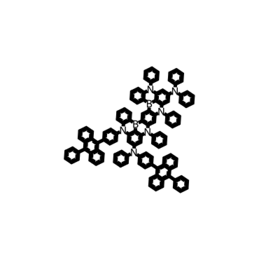 c1ccc(-c2c3ccccc3c(-c3ccc(N(c4ccccc4)c4cc5c6c(c4)N(c4ccccc4)c4cc7c(cc4B6c4ccccc4N5c4ccc(-c5c6ccccc6c(-c6ccccc6)c6ccccc56)cc4)B4c5ccccc5N(c5ccccc5)c5cc(N(c6ccccc6)c6ccccc6)cc(c54)N7c4ccccc4)cc3)c3ccccc23)cc1